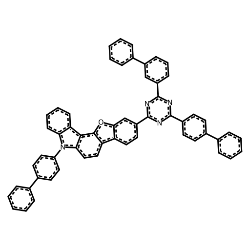 c1ccc(-c2ccc(-c3nc(-c4cccc(-c5ccccc5)c4)nc(-c4ccc5c(c4)oc4c5ccc5c4c4ccccc4n5-c4ccc(-c5ccccc5)cc4)n3)cc2)cc1